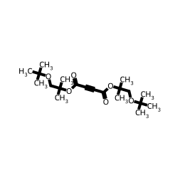 CC(C)(C)OCC(C)(C)OC(=O)C#CC(=O)OC(C)(C)COC(C)(C)C